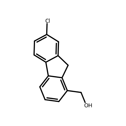 OCc1cccc2c1Cc1cc(Cl)ccc1-2